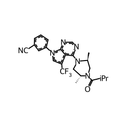 CC(C)C(=O)N1C[C@H](C)N(c2ncnc3c2c(C(F)(F)F)cn3-c2cccc(C#N)c2)C[C@H]1C